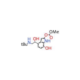 COC(=O)Oc1cc2c(C(O)CNC(C)(C)C)ccc(O)c2[nH]1